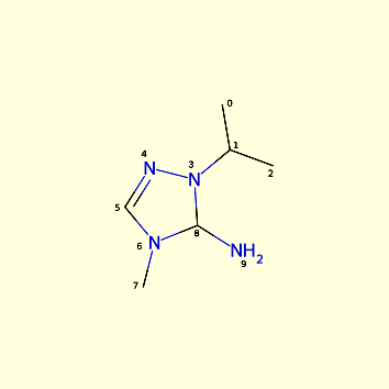 CC(C)N1N=CN(C)C1N